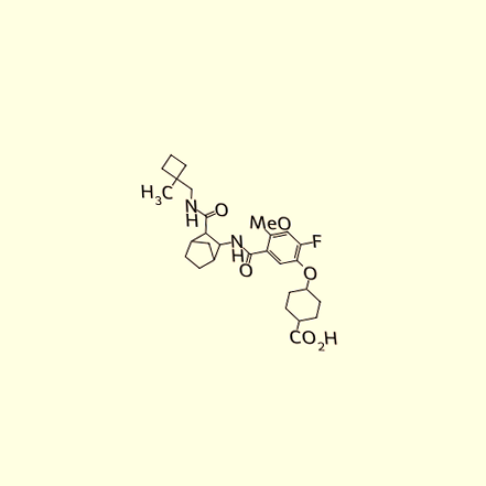 COc1cc(F)c(OC2CCC(C(=O)O)CC2)cc1C(=O)NC1C2CCC(C2)C1C(=O)NCC1(C)CCC1